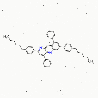 CCCCCCc1ccc(-c2cc(-c3ccccc3)c3cc4nc(-c5ccc(CCCCCC)cc5)cc(-c5ccccc5)c4nc3c2)cc1